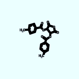 Cc1ccc(C(=O)OC2C(=O)OC(=O)C2OC(=O)c2ccc(C)cc2)cc1